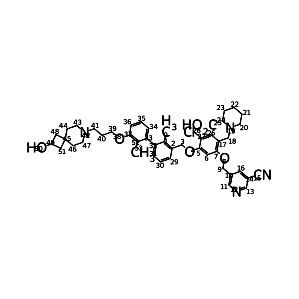 Cc1c(COc2cc(OCc3cncc(C#N)c3)c(CN3CCCC[C@H]3C(=O)O)cc2Cl)cccc1-c1cccc(OCCCN2CCC3(CC2)CC(O)C3)c1C